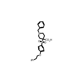 CC(C)CCOc1ccc(S(=O)(=O)C2(C(=O)O)CCN(Cc3ccccc3)CC2)cc1